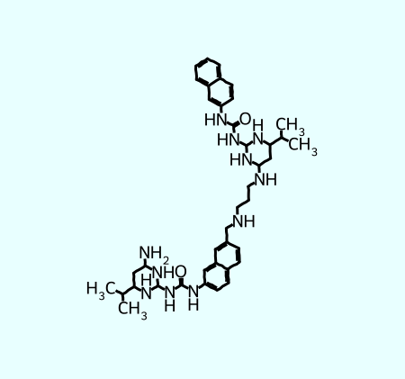 CC(C)C1CC(N)NC(NC(=O)Nc2ccc3ccc(CNCCCNC4CC(C(C)C)NC(NC(=O)Nc5ccc6ccccc6c5)N4)cc3c2)N1